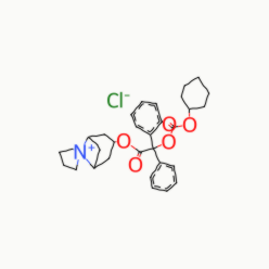 O=C(OC1CCCCC1)OC(C(=O)OC1CC2CCC(C1)[N+]21CCCC1)(c1ccccc1)c1ccccc1.[Cl-]